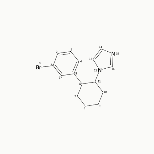 Brc1cccc(C2CCCCC2n2ccnc2)c1